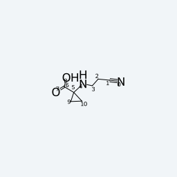 N#CCCNC1(C(=O)O)CC1